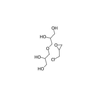 ClCC1CO1.OCC(O)COCC(O)CO